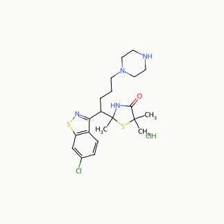 CC1(C)SC(C)(C(CCCN2CCNCC2)c2nsc3cc(Cl)ccc23)NC1=O.Cl